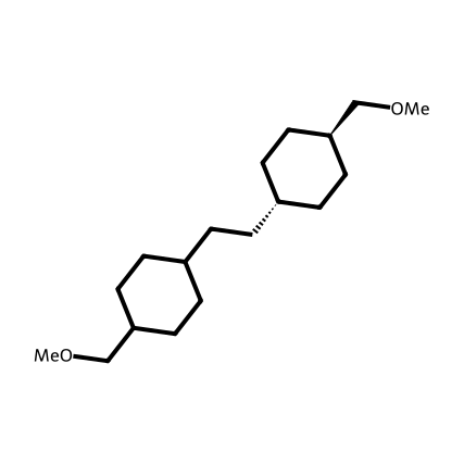 COCC1CCC(CC[C@H]2CC[C@H](COC)CC2)CC1